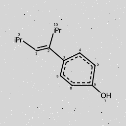 CC(C)C=C(c1ccc(O)cc1)C(C)C